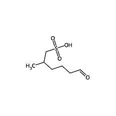 CC(CCCC=O)CS(=O)(=O)O